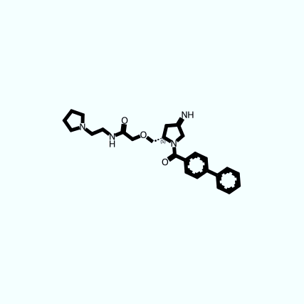 N=C1C[C@@H](COCC(=O)NCCN2CCCC2)N(C(=O)c2ccc(-c3ccccc3)cc2)C1